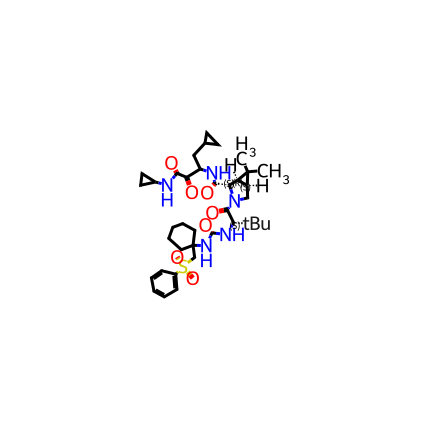 CC(C)(C)[C@H](NC(=O)NC1(CS(=O)(=O)c2ccccc2)CCCCC1)C(=O)N1C[C@H]2[C@@H]([C@H]1C(=O)NC(CC1CC1)C(=O)C(=O)NC1CC1)C2(C)C